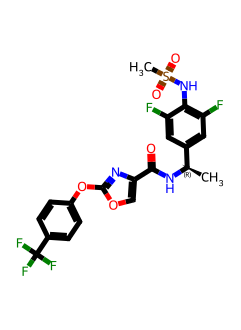 C[C@@H](NC(=O)c1coc(Oc2ccc(C(F)(F)F)cc2)n1)c1cc(F)c(NS(C)(=O)=O)c(F)c1